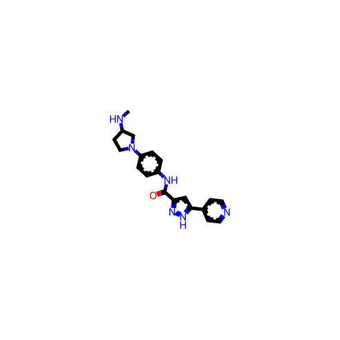 CNC1CCN(c2ccc(NC(=O)c3cc(-c4ccncc4)[nH]n3)cc2)C1